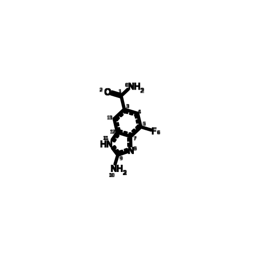 NC(=O)c1cc(F)c2nc(N)[nH]c2c1